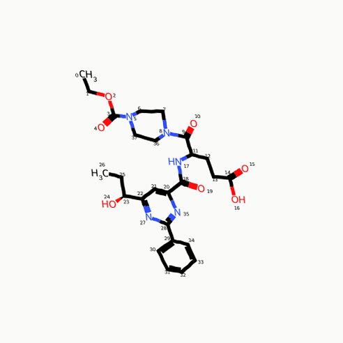 CCOC(=O)N1CCN(C(=O)C(CCC(=O)O)NC(=O)c2cc([C@@H](O)CC)nc(-c3ccccc3)n2)CC1